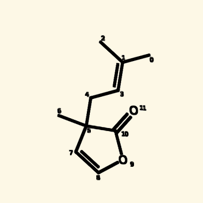 CC(C)=CCC1(C)C=COC1=O